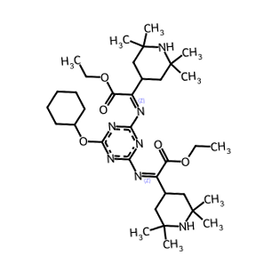 CCOC(=O)/C(=N\c1nc(/N=C(\C(=O)OCC)C2CC(C)(C)NC(C)(C)C2)nc(OC2CCCCC2)n1)C1CC(C)(C)NC(C)(C)C1